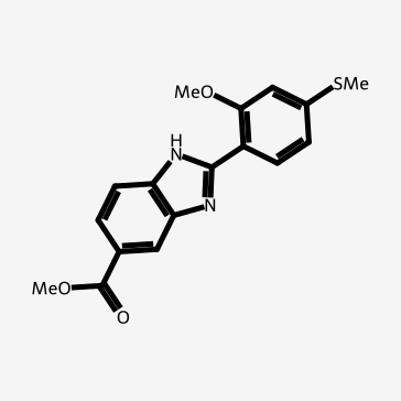 COC(=O)c1ccc2[nH]c(-c3ccc(SC)cc3OC)nc2c1